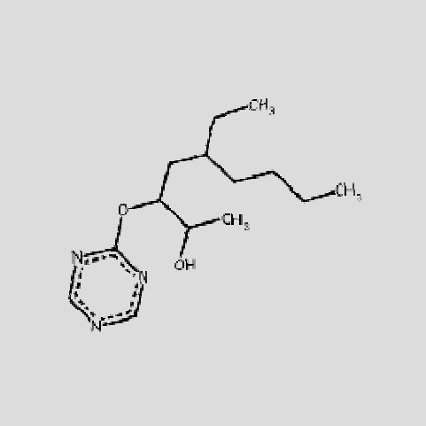 CCCCC(CC)CC(Oc1ncncn1)C(C)O